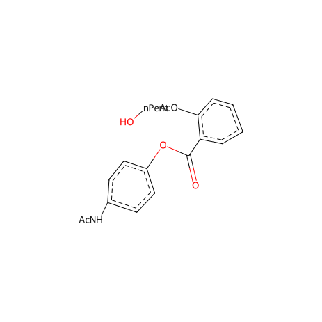 CC(=O)Nc1ccc(OC(=O)c2ccccc2OC(C)=O)cc1.CCCCCO